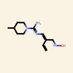 C=C/C(=C\N=C(/N)N1CCC(C)CC1)CNO